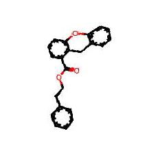 O=C(OCCc1ccccc1)c1cccc2c1Cc1ccccc1O2